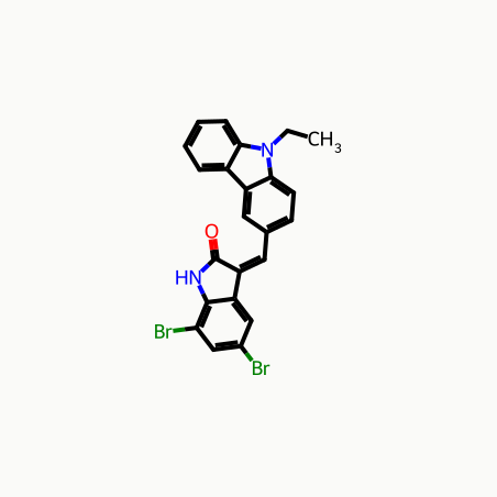 CCn1c2ccccc2c2cc(C=C3C(=O)Nc4c(Br)cc(Br)cc43)ccc21